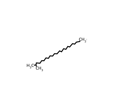 [CH2]CCCCCCCCCCCCCCCCCCCCC(C)C